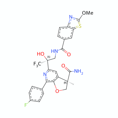 COc1nc2ccc(C(=O)NC[C@](O)(c3cc4c(c(-c5ccc(F)cc5)n3)OC[C@]4(C)C(N)=O)C(F)(F)F)cc2s1